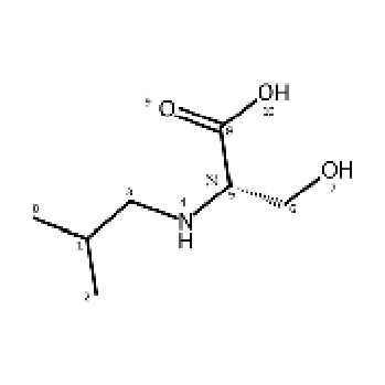 CC(C)CN[C@@H](CO)C(=O)O